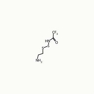 NCCSSNC(=O)C(F)(F)F